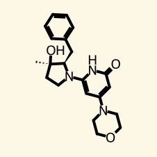 C[C@@]1(O)CCN(c2cc(N3CCOCC3)cc(=O)[nH]2)[C@@H]1Cc1ccccc1